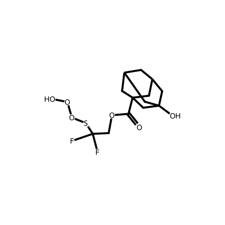 O=C(OCC(F)(F)SOOO)C12CC3CC(CC(O)(C3)C1)C2